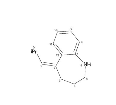 CC(C)/C=C1/CCCNc2ccccc21